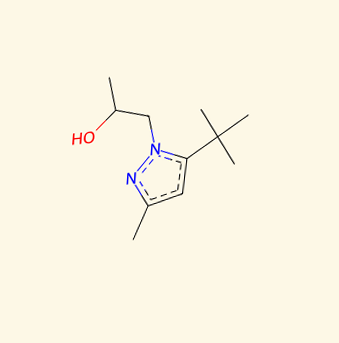 Cc1cc(C(C)(C)C)n(CC(C)O)n1